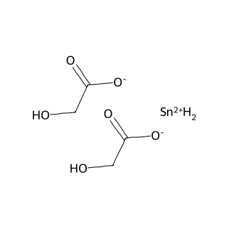 O=C([O-])CO.O=C([O-])CO.[SnH2+2]